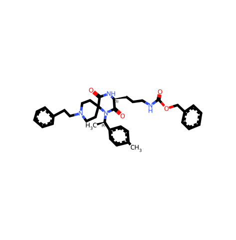 Cc1ccc([C@@H](C)N2C(=O)[C@H](CCCNC(=O)OCc3ccccc3)NC(=O)C23CCN(CCc2ccccc2)CC3)cc1